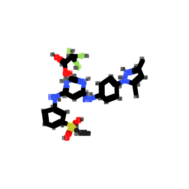 CNS(=O)(=O)c1cccc(Nc2cc(Nc3ccc(-n4nc(C)cc4C)cc3)ncn2)c1.O=C(O)C(F)(F)F